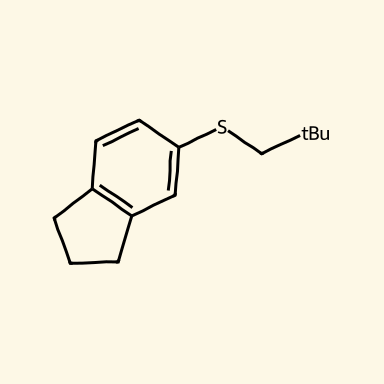 CC(C)(C)CSc1ccc2c(c1)CCC2